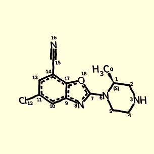 C[C@H]1CNCCN1c1nc2cc(Cl)cc(C#N)c2o1